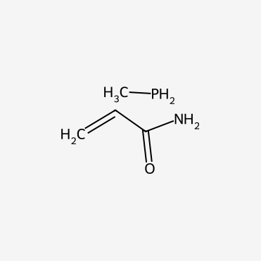 C=CC(N)=O.CP